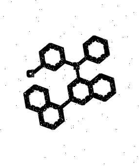 Clc1cccc(N(c2ccccc2)c2cc(-c3cccc4ccccc34)cc3ccccc23)c1